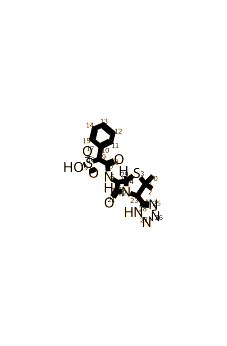 CC1(C)S[C@H]2C(NC(=O)C(c3ccccc3)S(=O)(=O)O)C(=O)N2C1c1nnn[nH]1